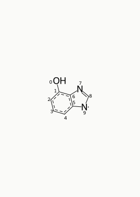 Oc1cccc2c1N=C[N]2